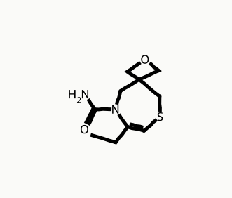 CCC1=CSCC2(COC2)CN1C(N)=O